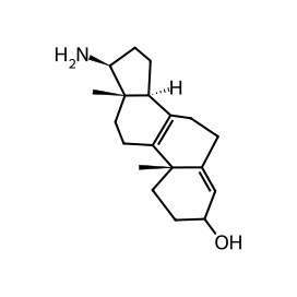 C[C@]12CCC(O)C=C1CCC1=C2CC[C@]2(C)[C@@H](N)CC[C@@H]12